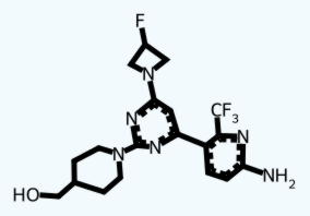 Nc1ccc(-c2cc(N3CC(F)C3)nc(N3CCC(CO)CC3)n2)c(C(F)(F)F)n1